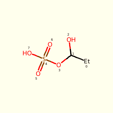 CCC(O)OS(=O)(=O)O